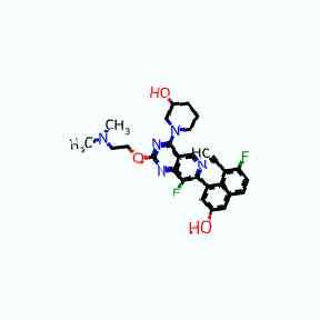 C#Cc1c(F)ccc2cc(O)cc(-c3ncc4c(N5CCCC(O)C5)nc(OCCN(C)C)nc4c3F)c12